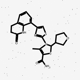 CC1=C(C(N)=O)SC(C2CCOC2)N1c1nc(-c2cccc3c2NC(=O)CC3)cs1